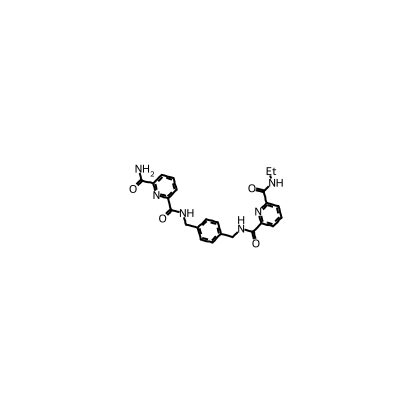 CCNC(=O)c1cccc(C(=O)NCc2ccc(CNC(=O)c3cccc(C(N)=O)n3)cc2)n1